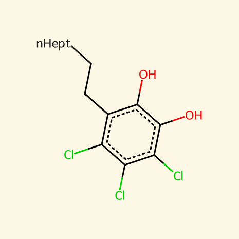 CCCCCCCCCc1c(O)c(O)c(Cl)c(Cl)c1Cl